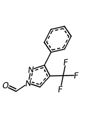 O=Cn1cc(C(F)(F)F)c(-c2ccccc2)n1